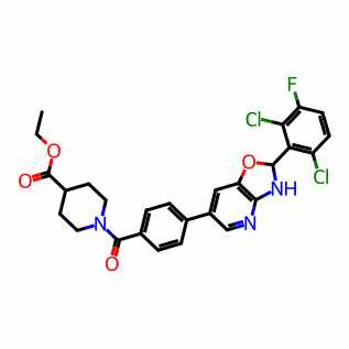 CCOC(=O)C1CCN(C(=O)c2ccc(-c3cnc4c(c3)OC(c3c(Cl)ccc(F)c3Cl)N4)cc2)CC1